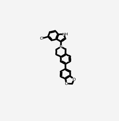 Clc1ccc2[nH]cc(N3CCc4cc(-c5ccc6c(c5)OCO6)ccc4C3)c2c1